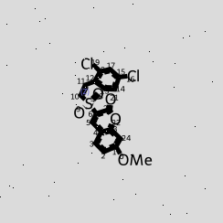 COc1ccc2cc(S(=O)(=O)/C=C\c3ccc(Cl)cc3Cl)c(=O)oc2c1